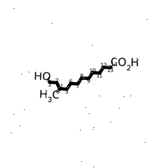 CC(CCO)CCCCCCCCCC(=O)O